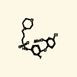 CCc1ccc(Oc2ccc(NS(=O)(=O)CCCN3CCOCC3)cc2F)c(OC)c1